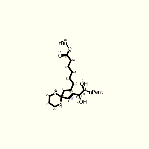 CCCCC[C@H](O)[C@@H](O)/C=C/C1(CCCCCCCC(=O)OC(C)(C)C)SCCCS1